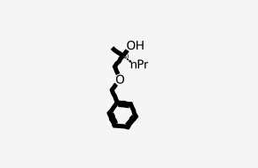 CCC[C@](C)(O)COCc1ccccc1